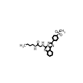 CCCCNC(=O)CNc1nc2ccccc2c2nc(-c3ccc(S(C)(=O)=O)cc3)nn12